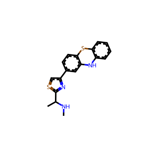 CNC(C)c1nc(-c2ccc3c(c2)Nc2ccccc2S3)cs1